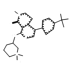 Cn1ccc2c(-c3ccc(C(F)(F)F)cc3)cnc(NC3CCCS(O)(O)C3)c2c1=O